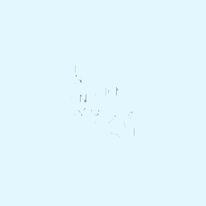 Cl.O=C(OCc1ccc(F)c(F)c1)N1CCNCC1